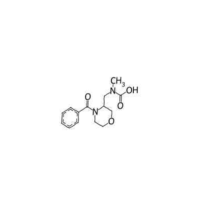 CN(CC1COCCN1C(=O)c1ccccc1)C(=O)O